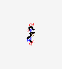 COC(=O)c1nccc(-c2cc(-n3c(C)cc(O)cc3=O)c(C)s2)n1